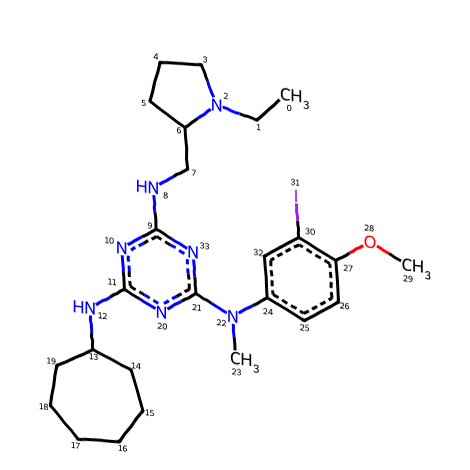 CCN1CCCC1CNc1nc(NC2CCCCCC2)nc(N(C)c2ccc(OC)c(I)c2)n1